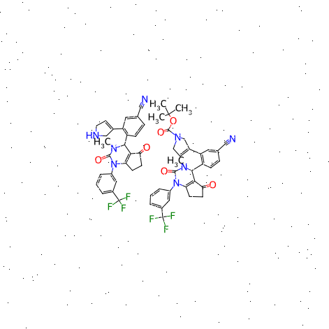 CN1C(=O)N(c2cccc(C(F)(F)F)c2)C2=C(C(=O)CC2)C1c1ccc(C#N)cc1C1=CCN(C(=O)OC(C)(C)C)C1.CN1C(=O)N(c2cccc(C(F)(F)F)c2)C2=C(C(=O)CC2)C1c1ccc(C#N)cc1C1=CCNC1